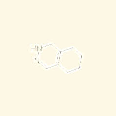 C1=NNCC2=C1CCCC2